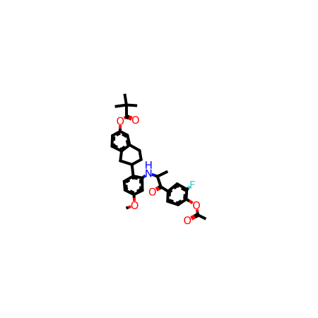 COc1ccc(C2CCc3cc(OC(=O)C(C)(C)C)ccc3C2)c(NC(C)C(=O)c2ccc(OC(C)=O)c(F)c2)c1